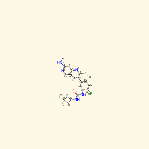 CNc1cc2nc(C)c(-c3cc(NC(=O)N[C@H]4C[C@](C)(F)C4)c(F)cc3F)cc2cn1